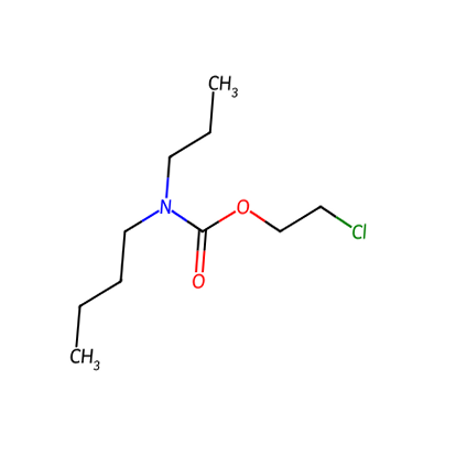 CCCCN(CCC)C(=O)OCCCl